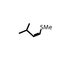 CS/C=C\C(C)C